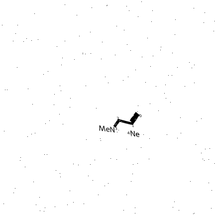 C=CCNC.[Ne]